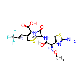 CO/N=C(/C(=O)NC1C(=O)N2C(C(=O)O)=C(/C=C/C(F)(F)F)CS[C@H]12)c1csc(N)n1